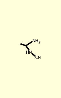 CC(N)NC#N